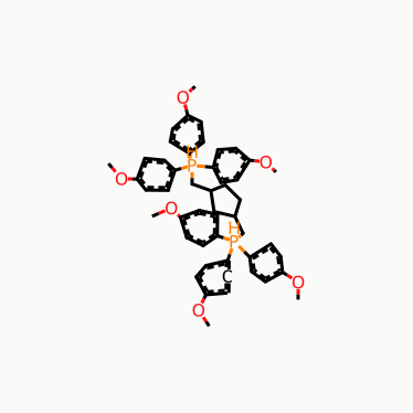 COc1ccc([PH](CC2CCC(C[PH](c3ccc(OC)cc3)(c3ccc(OC)cc3)c3ccc(OC)cc3)C2)(c2ccc(OC)cc2)c2ccc(OC)cc2)cc1